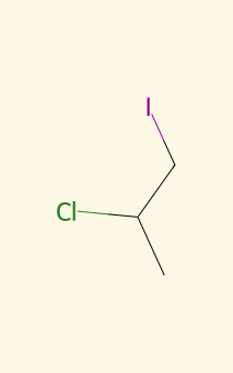 CC(Cl)CI